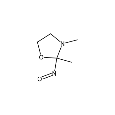 CN1CCOC1(C)N=O